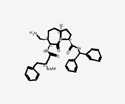 CN[C@H](Cc1ccccc1)C(=O)N[C@@H]1C(=O)N2[C@@H](CC[C@@H]1CN)CC[C@H]2C(=O)NC(c1ccccc1)c1ccccc1